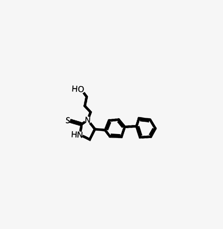 OCCCN1C(=S)NCC1c1ccc(-c2ccccc2)cc1